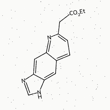 CCOC(=O)Cc1ccc2cc3[nH]cnc3cc2n1